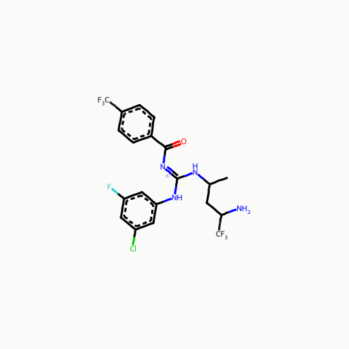 CC(CC(N)C(F)(F)F)N/C(=N\C(=O)c1ccc(C(F)(F)F)cc1)Nc1cc(F)cc(Cl)c1